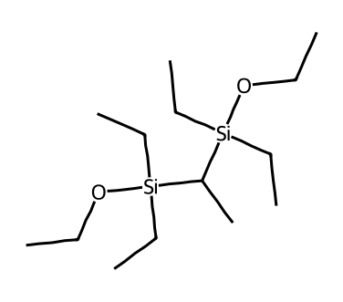 CCO[Si](CC)(CC)C(C)[Si](CC)(CC)OCC